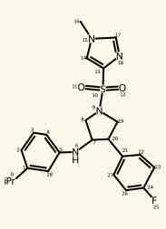 CC(C)c1cccc(NC2CN(S(=O)(=O)c3cn(C)cn3)CC2c2ccc(F)cc2)c1